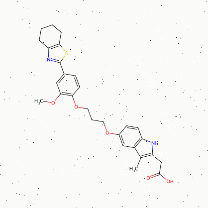 COc1cc(-c2nc3c(s2)CCCC3)ccc1OCCCOc1ccc2[nH]c(CC(=O)O)c(C)c2c1